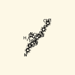 Cc1noc(C)c1CN1Cc2cc3c(cc2C[C@H]1C(=O)NC(Cc1ccc(-c2ccc(C#N)cc2)cc1)C(=O)O)OC[C@H](c1ccc(OCc2ccc(Cl)c(Cl)c2)cc1)O3